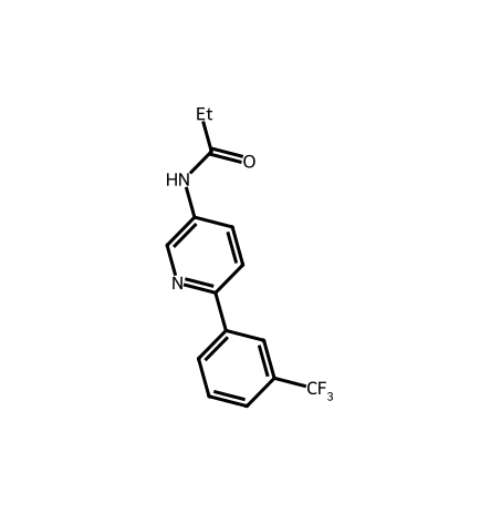 CCC(=O)Nc1ccc(-c2cccc(C(F)(F)F)c2)nc1